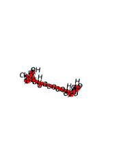 O=C(CCOCCOCCOCCOCCOCCC(=O)Nc1cccc2c1CN(C1CCC(=O)NC1=O)C2=O)NCCOc1ccc(C(=C(CCCl)c2ccccc2)c2ccc(O)cc2)cc1